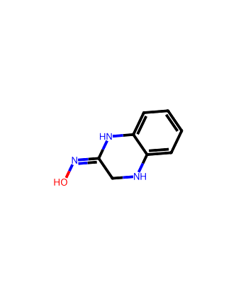 O/N=C1\CNc2ccccc2N1